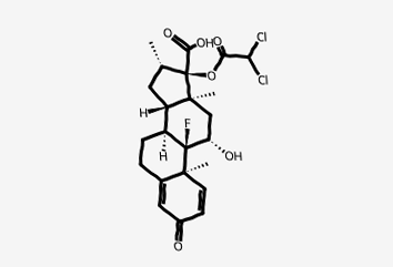 C[C@H]1C[C@H]2[C@@H]3CCC4=CC(=O)C=C[C@]4(C)[C@@]3(F)[C@@H](O)C[C@]2(C)[C@@]1(OC(=O)C(Cl)Cl)C(=O)O